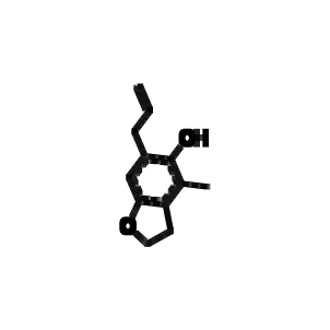 C=CCc1cc2c(c(C)c1O)CCO2